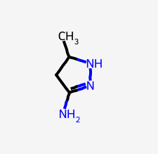 CC1CC(N)=NN1